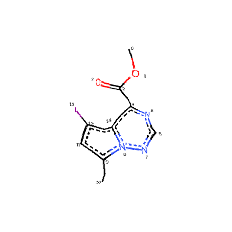 COC(=O)c1ncnn2c(C)cc(I)c12